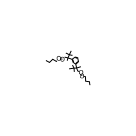 CCCCOOCC(C)(c1cccc(C(C)(COOCCCC)C(C)(C)C)c1)C(C)(C)C